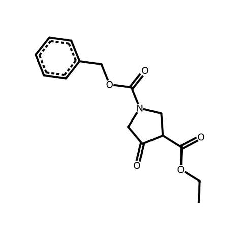 CCOC(=O)C1CN(C(=O)OCc2ccccc2)CC1=O